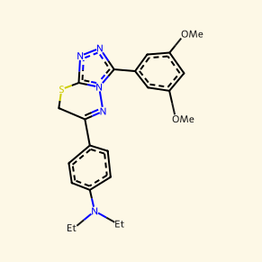 CCN(CC)c1ccc(C2=Nn3c(nnc3-c3cc(OC)cc(OC)c3)SC2)cc1